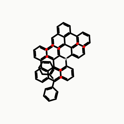 C1=Cc2c(n(-c3ccccc3)c3cccc(N(c4ccccc4-c4cccc5cccc(-c6ccccc6)c45)c4ccccc4-c4cccc5cccc(-c6ccccc6)c45)c23)CC1